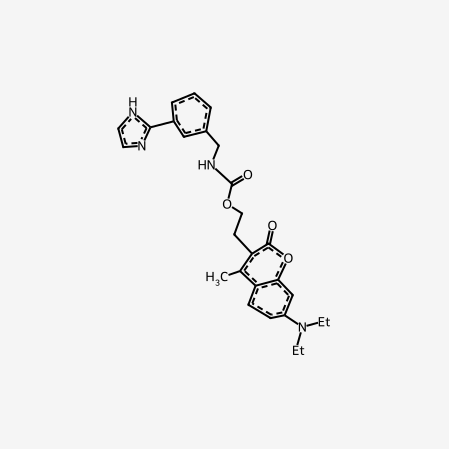 CCN(CC)c1ccc2c(C)c(CCOC(=O)NCc3cccc(-c4ncc[nH]4)c3)c(=O)oc2c1